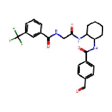 O=Cc1ccc(C(=O)NC2CCCCC2NC(=O)CNC(=O)c2cccc(C(F)(F)F)c2)cc1